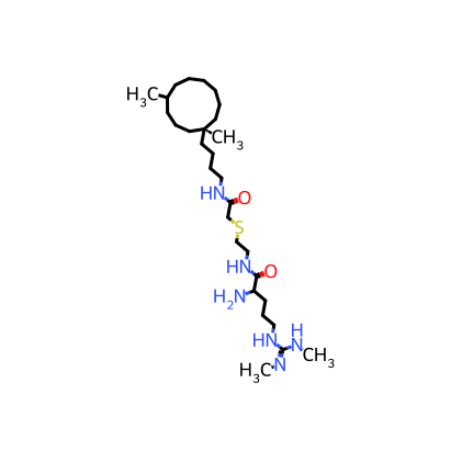 C/N=C(/NC)NCCCC(N)C(=O)NCCSCC(=O)NCCCC[C@@]1(C)CCCCCCC(C)CCC1